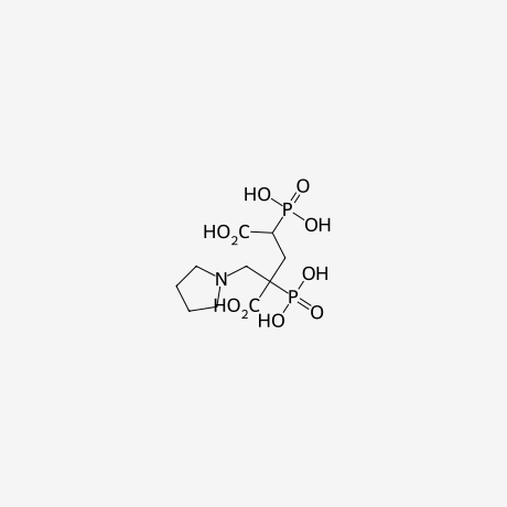 O=C(O)C(CC(CN1CCCC1)(C(=O)O)P(=O)(O)O)P(=O)(O)O